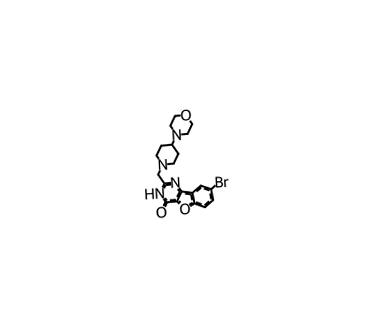 O=c1[nH]c(CN2CCC(N3CCOCC3)CC2)nc2c1oc1ccc(Br)cc12